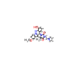 COc1ccc2[nH]c3c(c2c1)CC1(C)C(=O)N(CCN2CCCC2)C(=O)N1C3c1cccc(O)c1